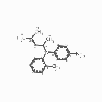 Cc1ccccc1N(c1ccc(N)cc1)C(C)CC(C)C